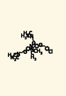 CCN(CC)CCCOc1ccc2nc(-c3ccc(OCCc4ccc(Cl)cc4)cc3OCCCN(CC)CC)n(C(C)C)c2c1